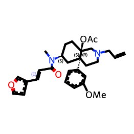 C=CCN1CC[C@@]2(c3cccc(OC)c3)C[C@@H](N(C)C(=O)/C=C/c3ccoc3)CC[C@]2(OC(C)=O)C1